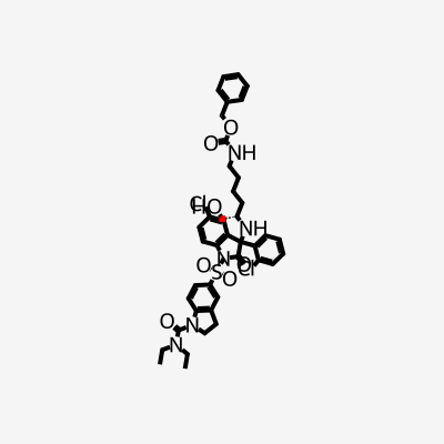 CCN(CC)C(=O)N1CCc2cc(S(=O)(=O)N3C(=O)C(N[C@H](CO)CCCCNC(=O)OCc4ccccc4)(c4ccccc4Cl)c4cc(Cl)ccc43)ccc21